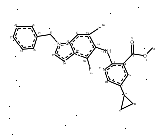 COC(=O)c1cc(C2CC2)cnc1Nc1c(F)cc2c(ccn2Cc2ccccc2)c1F